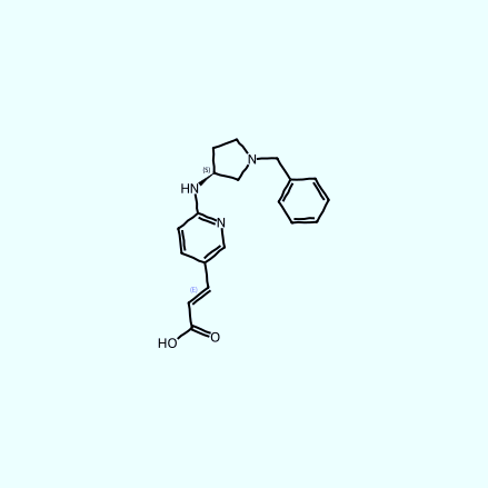 O=C(O)/C=C/c1ccc(N[C@H]2CCN(Cc3ccccc3)C2)nc1